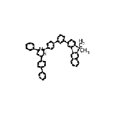 CC1(C)c2ccc(-c3cccc(-c4ccc(-c5nc(-c6ccccc6)cc(-c6ccc(-c7ccccc7)cc6)n5)cc4)c3)cc2-c2cc3ccccc3cc21